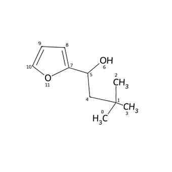 CC(C)(C)CC(O)c1ccco1